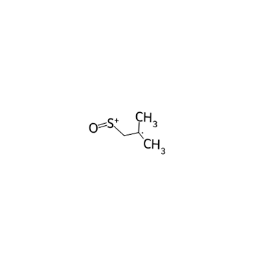 C[C](C)C[S+]=O